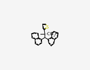 C[C@@](C(=O)O)(c1cccs1)C(c1cccc2ccccc12)c1cccc2ccccc12